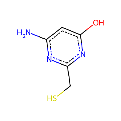 Nc1cc(O)nc(CS)n1